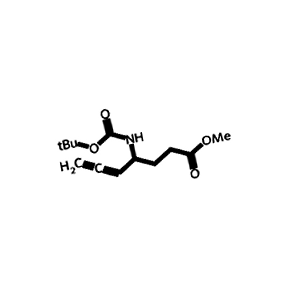 C=C=CC(CCC(=O)OC)NC(=O)OC(C)(C)C